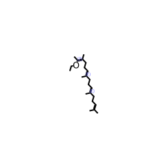 CCO/C(C)=C(/C)CC/C=C(\C)CC/C=C(\C)CCC=C(C)C